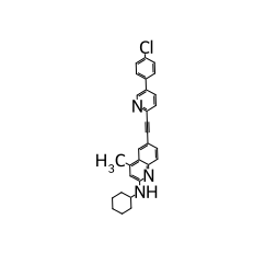 Cc1cc(NC2CCCCC2)nc2ccc(C#Cc3ccc(-c4ccc(Cl)cc4)cn3)cc12